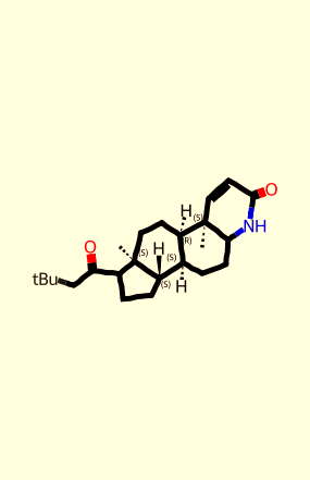 CC(C)(C)CC(=O)C1CC[C@H]2[C@@H]3CCC4NC(=O)C=C[C@]4(C)[C@@H]3CC[C@]12C